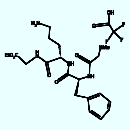 CCOC(=O)CNC(=O)[C@H](CCCN)NC(=O)[C@H](Cc1ccccc1)NC(=O)CNC.O=C(O)C(F)(F)F